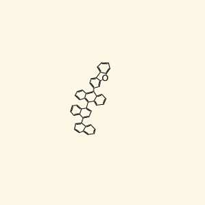 c1ccc2c(-c3ccc(-c4c5ccccc5c(-c5ccc6c(c5)oc5ccccc56)c5ccccc45)c4ccccc34)cccc2c1